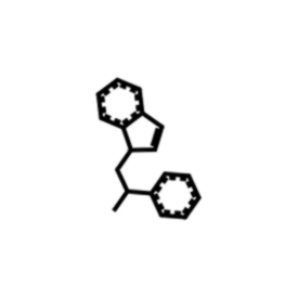 CC(C[C]1C=Cc2ccccc21)c1ccccc1